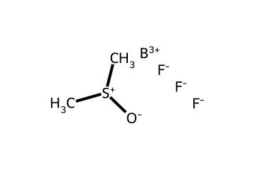 C[S+](C)[O-].[B+3].[F-].[F-].[F-]